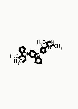 C=Cc1c(/C=C\C)n(-c2ccc3c(c2)c2ccccc2n3-c2ccc(-c3nc(C)ncc3C)cc2)c2ccccc12